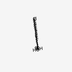 O=C(CCCCCCCCCCCCCCCCCCCCCCCCCCCCCl)NO